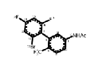 CC(=O)Nc1[c]cc(C(F)(F)F)c(-c2c(F)cc(F)cc2Br)c1